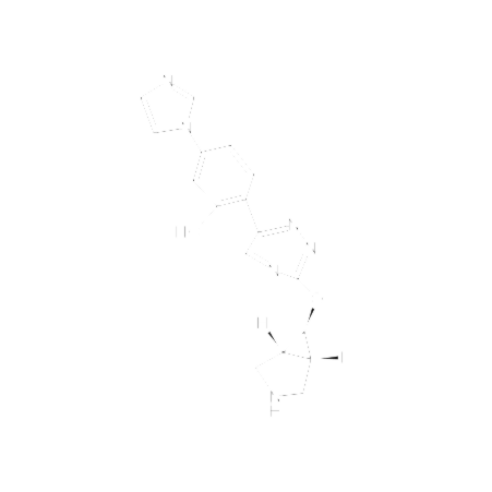 Oc1cc(-n2ccnc2)ccc1-c1cnc(O[C@H]2[C@@H]3CNC[C@@H]32)nn1